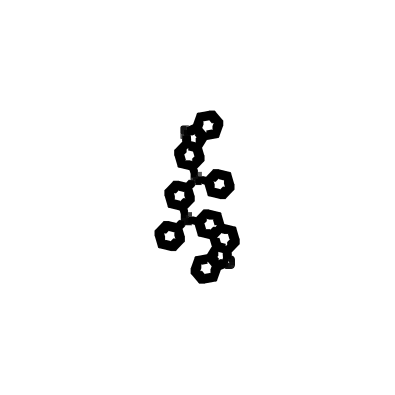 c1ccc(N(c2cccc(N(c3ccccc3)c3ccc4ccc5oc6ccccc6c5c4c3)c2)c2ccc3sc4ccccc4c3c2)cc1